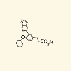 O=C(O)CCc1ccc(OC2CCCCC2)c(-c2ccc3sccc3c2)c1